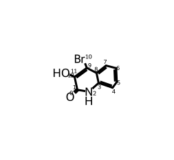 O=c1[nH]c2ccccc2c(Br)c1O